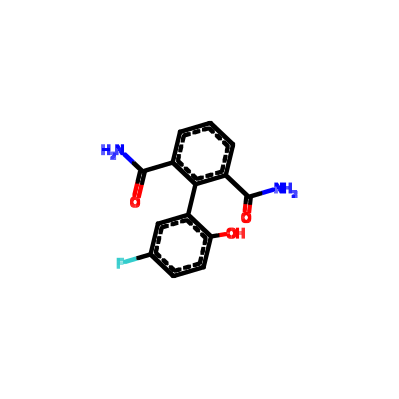 NC(=O)c1cccc(C(N)=O)c1-c1cc(F)ccc1O